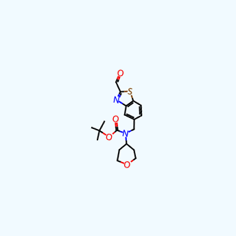 CC(C)(C)OC(=O)N(Cc1ccc2sc(C=O)nc2c1)C1CCOCC1